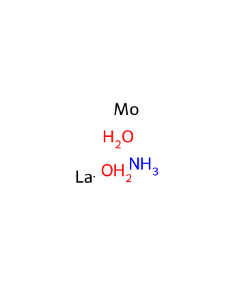 N.O.O.[La].[Mo]